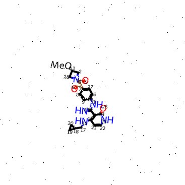 COC1CN(S(=O)(=O)c2ccc(NC(=N)c3c(NCC4CC4)cc[nH]c3=O)cc2)C1